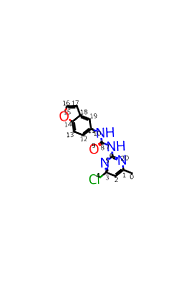 Cc1cc(Cl)nc(NC(=O)Nc2ccc3occc3c2)n1